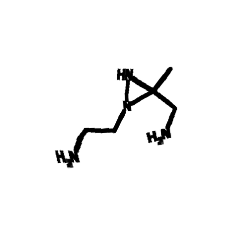 CC1(CN)NN1CCN